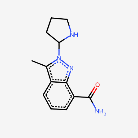 Cc1c2cccc(C(N)=O)c2nn1C1CCCN1